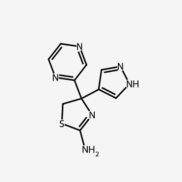 NC1=NC(c2cn[nH]c2)(c2cnccn2)CS1